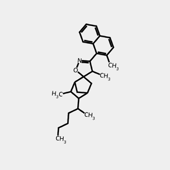 CCCCC(C)C1C2CC(C1C)C1(C2)ON=C(c2c(C)ccc3ccccc23)C1C